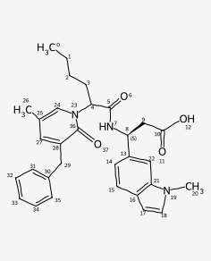 CCCCC(C(=O)N[C@@H](CC(=O)O)c1ccc2ccn(C)c2c1)n1cc(C)cc(Cc2ccccc2)c1=O